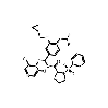 O=C(OC(Cc1c(Cl)cncc1Cl)c1ccc(OC(F)F)c(OCC2CC2)c1)C1SCCN1S(=O)(=O)c1ccccc1